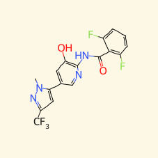 Cn1nc(C(F)(F)F)cc1-c1cnc(NC(=O)c2c(F)cccc2F)c(O)c1